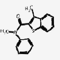 Cc1c(C(=O)N(C)c2ccccc2)sc2ccccc12